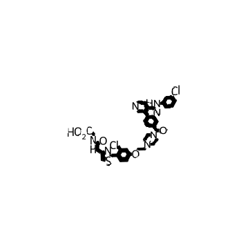 O=C(O)CNC(=O)Cc1csc(-c2ccc(OCCN3CCN(C(=O)c4ccc5c(c4)nc(Nc4cccc(Cl)c4)c4ccncc45)CC3)cc2Cl)n1